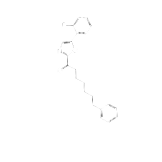 O=C(CCCCCCc1ccccc1)c1ncc(-c2ccccc2F)o1